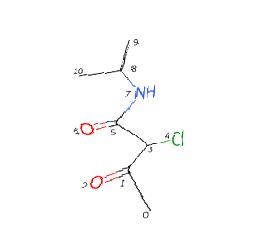 CC(=O)C(Cl)C(=O)NC(C)C